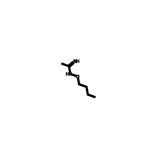 CCCCONC(C)=N